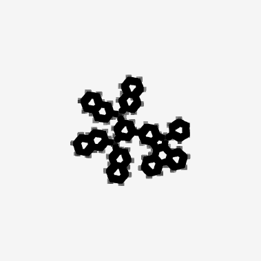 c1ccc(-n2c3ccc(-c4cc(N(c5ccc6ccccc6c5)c5ccc6ccccc6c5)cc(N(c5ccc6ccccc6c5)c5ccc6ccccc6c5)c4)cc3c3c4ccccc4c4ccccc4c32)cc1